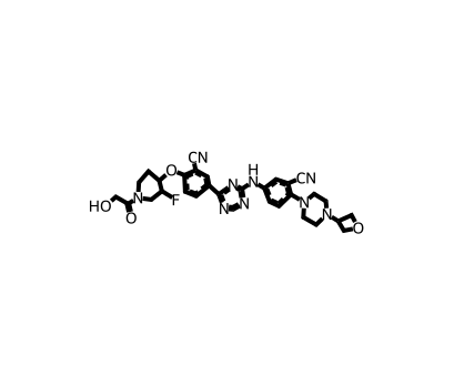 N#Cc1cc(-c2ncnc(Nc3ccc(N4CCN(C5COC5)CC4)c(C#N)c3)n2)ccc1OC1CCN(C(=O)CO)CC1F